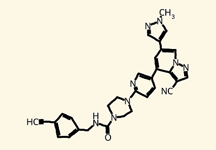 C#Cc1ccc(CNC(=O)N2CCN(c3ccc(-c4cc(-c5cnn(C)c5)cn5ncc(C#N)c45)cn3)CC2)cc1